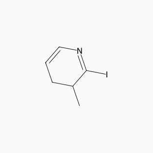 CC1CC=CN=C1I